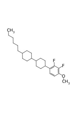 CCCCCCC1CCC(C2CCC(c3ccc(OC)c(F)c3F)CC2)CC1